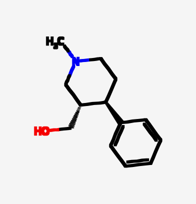 CN1CC[C@@H](c2ccccc2)[C@H](CO)C1